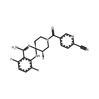 N#Cc1ccc(C(=O)N2CC[C@@]3(N=C(N)c4c(F)ccc(F)c4N3)[C@H](F)C2)cn1